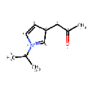 CC(=O)CC1C=C[N+](C(C)C)=C1